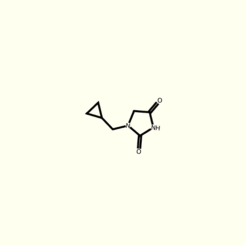 O=C1CN(CC2CC2)C(=O)N1